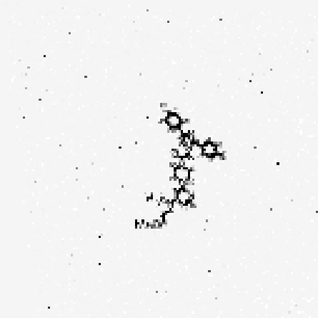 COCCCN(C)c1cc(N2CCN(C(=O)Cn3nc(-c4ccc(F)cc4)nc3-c3ccc(F)cc3)CC2)ncn1